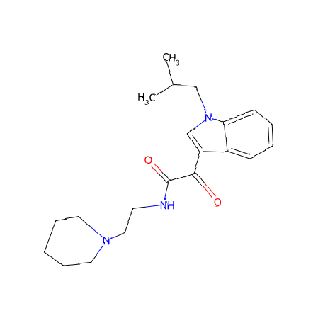 CC(C)Cn1cc(C(=O)C(=O)NCCN2CCCCC2)c2ccccc21